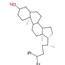 CCC(CC[C@@H](C)[C@H]1CCC2C3CCC4CC(O)CC[C@]4(C)C3CC[C@@]21C)C(C)C